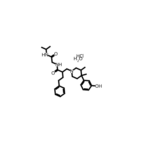 CC(C)NC(=O)CNC(=O)C(CCc1ccccc1)CN1CCC(C)(c2cccc(O)c2)C(C)C1.Cl.O